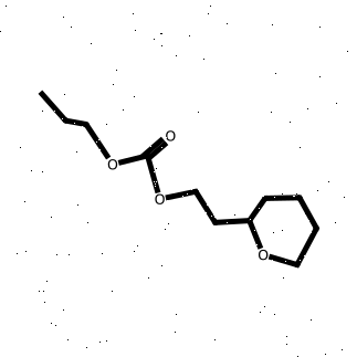 CCCOC(=O)OCCC1CCCCO1